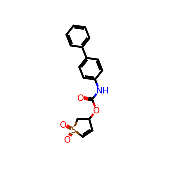 O=C(Nc1ccc(-c2ccccc2)cc1)OC1C=CS(=O)(=O)C1